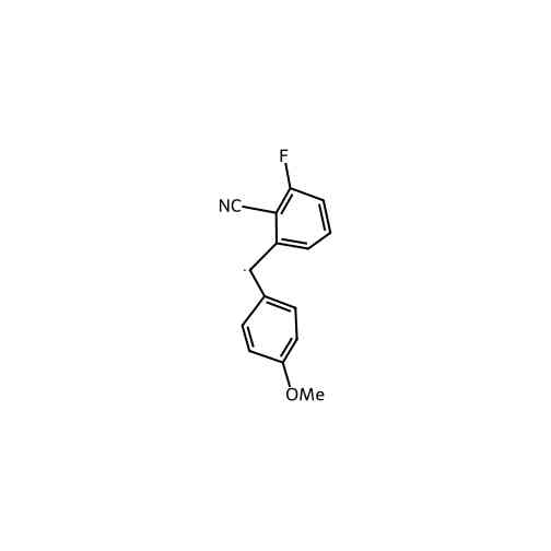 COc1ccc([CH]c2cccc(F)c2C#N)cc1